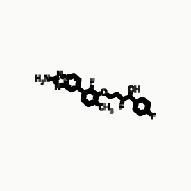 Cc1ccc(-c2ccn3nc(N)nc3c2)c(F)c1OCCC(F)C(O)c1ccc(F)cc1